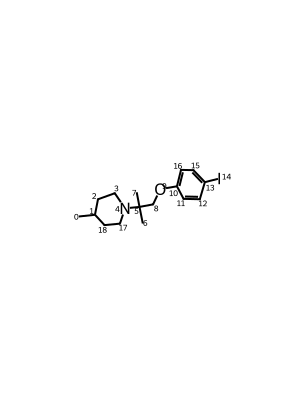 CC1CCN(C(C)(C)COc2ccc(I)cc2)CC1